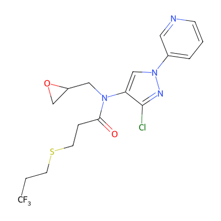 O=C(CCSCCC(F)(F)F)N(CC1CO1)c1cn(-c2cccnc2)nc1Cl